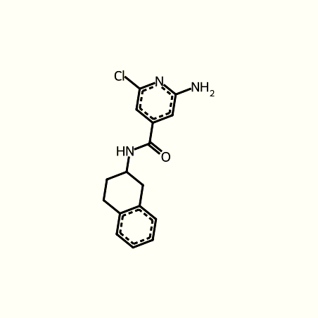 Nc1cc(C(=O)NC2CCc3ccccc3C2)cc(Cl)n1